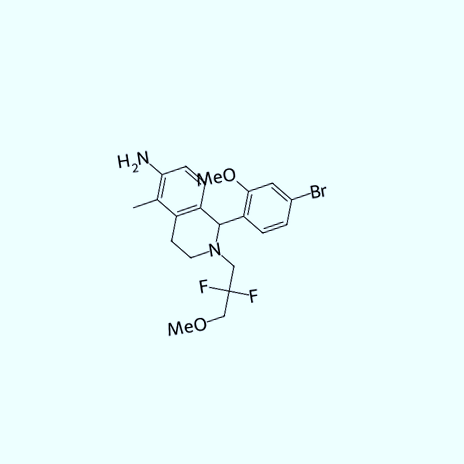 COCC(F)(F)CN1CCc2c(ccc(N)c2C)C1c1ccc(Br)cc1OC